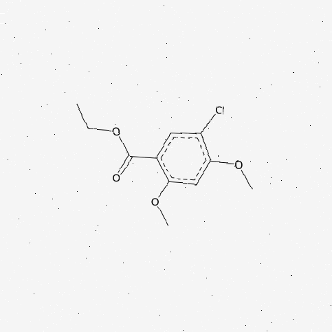 CCOC(=O)c1cc(Cl)c(OC)cc1OC